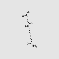 NC(=O)CCCCCNC(=O)CCC(N)=O